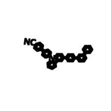 N#Cc1ccc(-c2ccc(-n3c4ccccc4c4cc(-c5ccc(-c6cccc(-c7ccccc7)c6)cc5)ccc43)cc2)cc1